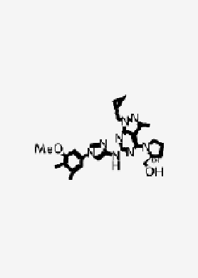 COc1cc(-n2cnc(Nc3nc(N4CCC[C@H]4CO)c4c(C)nn(CC5CC5)c4n3)c2)cc(C)c1C